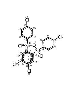 Clc1cc[c]([Sn]([Cl])([O][Sn]([Cl])([c]2ccc(Cl)cc2)[c]2ccc(Cl)cc2)[c]2ccc(Cl)cc2)cc1